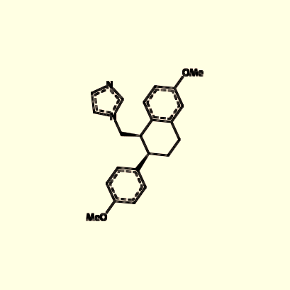 COc1ccc([C@@H]2CCc3cc(OC)ccc3[C@@H]2Cn2ccnc2)cc1